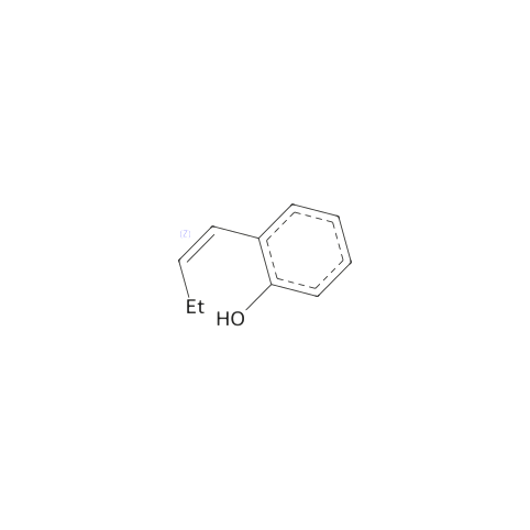 CC/C=C\c1ccccc1O